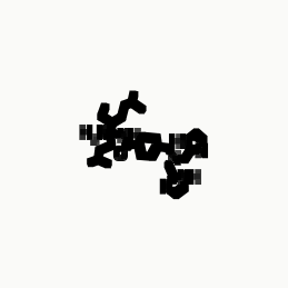 CCC(CCC(C)C)C(N)(CCC(C)C)NC(=O)c1ccc(CN(Cc2ncc[nH]2)Cc2ncc[nH]2)cc1